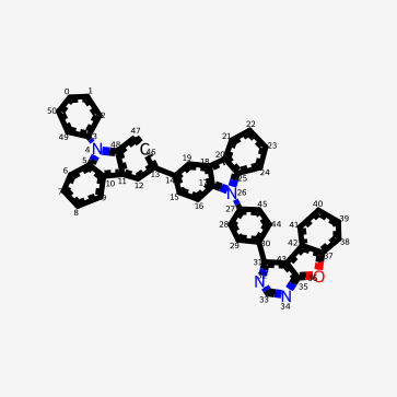 c1ccc(-n2c3ccccc3c3cc(-c4ccc5c(c4)c4ccccc4n5-c4ccc(-c5ncnc6oc7ccccc7c56)cc4)ccc32)cc1